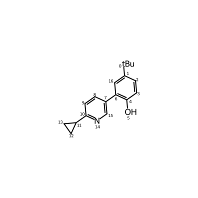 CC(C)(C)c1ccc(O)c(-c2ccc(C3CC3)nc2)c1